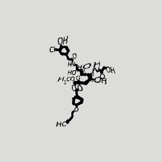 C#CCCOc1ccc(CO[C@]2(C(=O)OC)C[C@H](O)[C@@H](NC(=O)CO)[C@H]([C@H](O)[C@H](O)CNC(=O)Cc3ccc(O)c(Cl)c3)O2)cc1